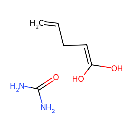 C=CCC=C(O)O.NC(N)=O